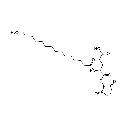 CCCCCCCCCCCCCCCC(=O)N[C@@H](CCC(=O)O)C(=O)ON1C(=O)CCC1=O